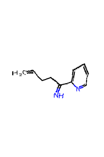 C=CCCC(=N)c1ccccn1